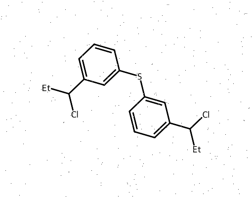 CCC(Cl)c1cccc(Sc2cccc(C(Cl)CC)c2)c1